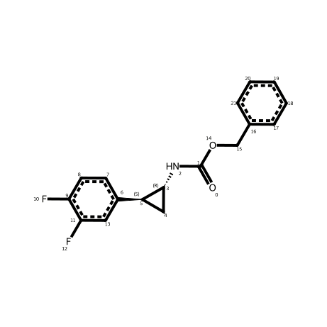 O=C(N[C@@H]1C[C@H]1c1ccc(F)c(F)c1)OCc1ccccc1